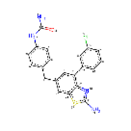 NC(=O)Nc1ccc(Cc2cc(-c3cccc(Cl)c3)c3nc(N)sc3c2)cc1